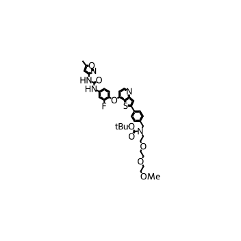 COCCOCCOCCN(Cc1ccc(-c2cc3nccc(Oc4ccc(NC(=O)Nc5cc(C)on5)cc4F)c3s2)cc1)C(=O)OC(C)(C)C